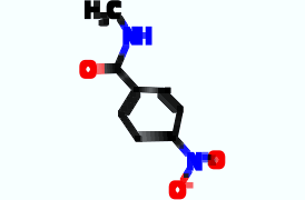 CNC(=O)c1[c]cc([N+](=O)[O-])cc1